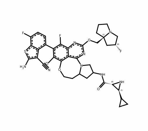 N#Cc1c(N)sc2c(F)ccc(-c3c(Cl)c4c5c(nc(OC[C@@]67CCCN6C[C@H](F)C7)nc5c3F)N3CC(NC(=O)[C@@H]5N[C@H]5C5CC5)CC3CCO4)c12